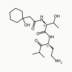 CC(C)C(=O)[C@H](CCN)NC(=O)[C@@H](NC(=O)CC1(O)CCCCC1)C(C)O